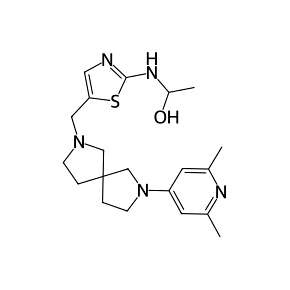 Cc1cc(N2CCC3(CCN(Cc4cnc(NC(C)O)s4)C3)C2)cc(C)n1